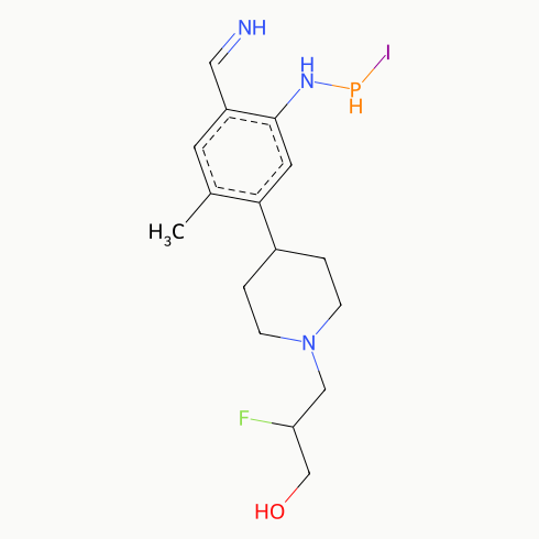 Cc1cc(C=N)c(NPI)cc1C1CCN(CC(F)CO)CC1